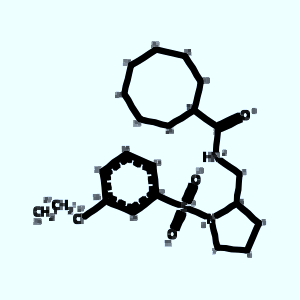 O=C(NCC1CCCN1S(=O)(=O)c1cccc(Cl)c1)[C]1CCCCCCC1.[CH2].[CH2]